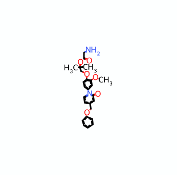 COc1cc(-n2ccc(COc3ccccc3)cc2=O)ccc1OCC(C)(C)OC(=O)CN